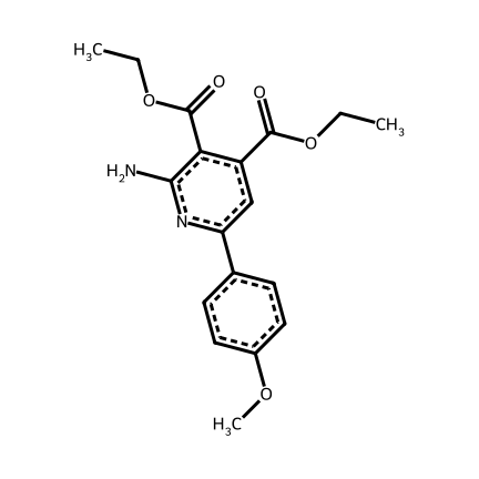 CCOC(=O)c1cc(-c2ccc(OC)cc2)nc(N)c1C(=O)OCC